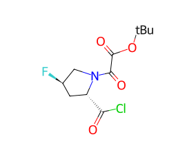 CC(C)(C)OC(=O)C(=O)N1C[C@H](F)C[C@H]1C(=O)Cl